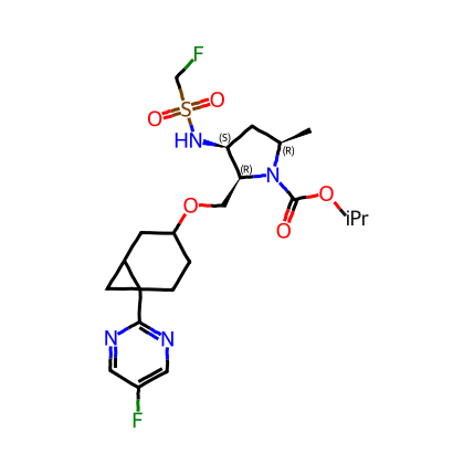 CC(C)OC(=O)N1[C@H](C)C[C@H](NS(=O)(=O)CF)[C@@H]1COC1CCC2(c3ncc(F)cn3)CC2C1